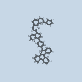 c1ccc(-c2ccc3ccc4ccc(-c5ccc(-c6ccc(-c7nc8c9ccccc9c9ccccc9c8c8ccccc78)cc6)c6ncccc56)nc4c3n2)cc1